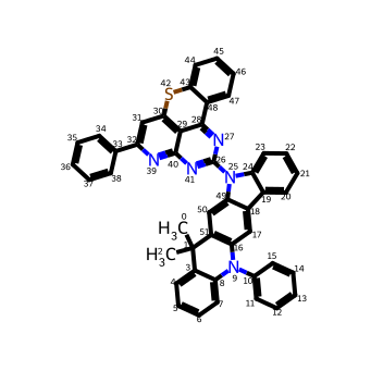 CC1(C)c2ccccc2N(c2ccccc2)c2cc3c4ccccc4n(-c4nc5c6c(cc(-c7ccccc7)nc6n4)Sc4ccccc4-5)c3cc21